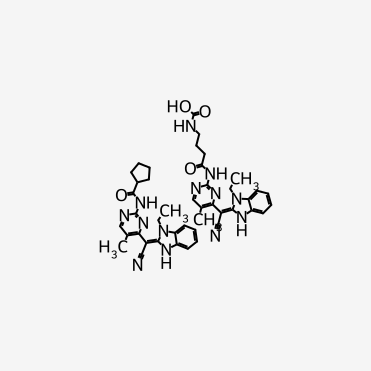 CCN1C(=C(C#N)c2nc(NC(=O)C3CCCC3)ncc2C)Nc2ccccc21.CCN1C(=C(C#N)c2nc(NC(=O)CCCNC(=O)O)ncc2C)Nc2ccccc21